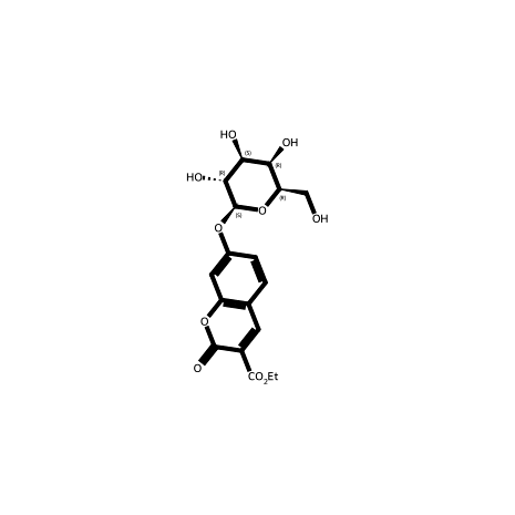 CCOC(=O)c1cc2ccc(O[C@@H]3O[C@H](CO)[C@H](O)[C@H](O)[C@H]3O)cc2oc1=O